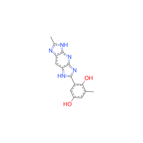 Cc1nc2cc3[nH]c(-c4cc(O)cc(C)c4O)nc3nc2[nH]1